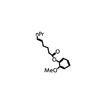 CCCC=CCCCC(=O)Oc1ccccc1OC